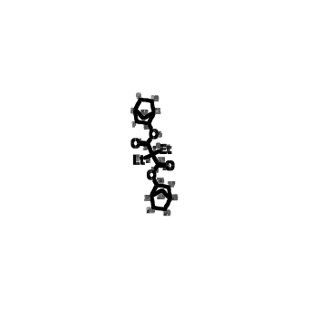 CCC(CC)(C(=O)OC1CC2CCC1C2)C(=O)OC1CC2CCC1C2